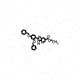 CCOC(=O)c1cnc2[nH]c(-c3ccc(OCc4ccccc4)cc3OCc3ccccc3)nc2c1